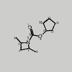 CC1CC(C)N1C(=O)OC1CCCC1